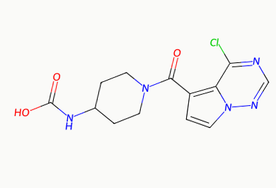 O=C(O)NC1CCN(C(=O)c2ccn3ncnc(Cl)c23)CC1